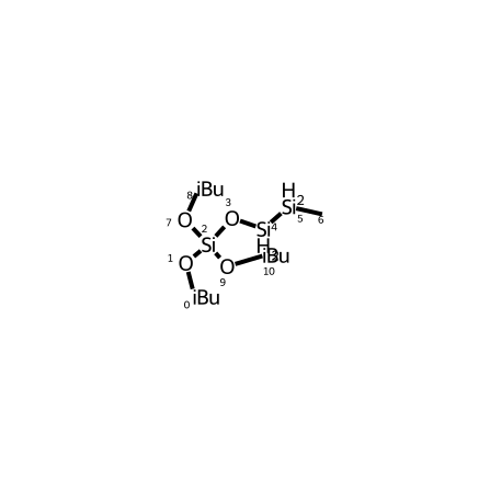 CCC(C)O[Si](O[SiH2][SiH2]C)(OC(C)CC)OC(C)CC